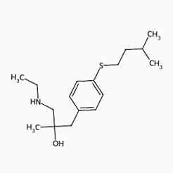 CCNCC(C)(O)Cc1ccc(SCCC(C)C)cc1